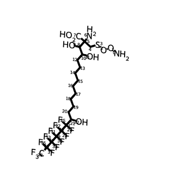 NOOSCC(N)(C(=O)O)C(O)C(O)CCCCCCCCCC(O)C(F)(F)C(F)(F)C(F)(F)C(F)(F)C(F)(F)C(F)(F)F